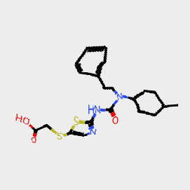 CC1CCC(N(CCc2ccccc2)C(=O)Nc2ncc(SCC(=O)O)s2)CC1